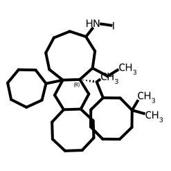 CCC1CC(NI)CCCCC2(C3CCCCCC3)CC3CCCCCCC3C[C@]12C(C)C1CCCCCC(C)(C)C1